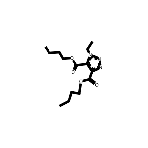 CCCCOC(=O)c1nnn(CC)c1C(=O)OCCCC